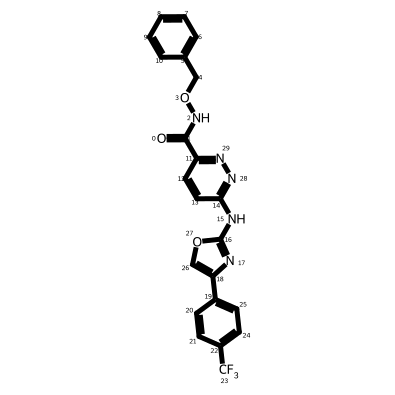 O=C(NOCc1ccccc1)c1ccc(Nc2nc(-c3ccc(C(F)(F)F)cc3)co2)nn1